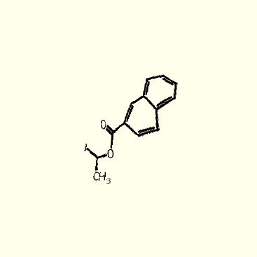 C[C@@H](I)OC(=O)c1ccc2ccccc2c1